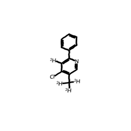 [2H]c1c(-c2ccccc2)ncc(C([2H])([2H])[2H])c1Cl